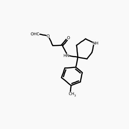 Cc1ccc(C2(NC(=O)COC=O)CCNCC2)cc1